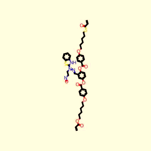 C=CC(=O)OCCCCCCOc1ccc(C(=O)Oc2ccc(OC(=O)c3ccc(OCCCCCCSC(=O)C=C)cc3)c(/C=N/N(CCN=O)C3Nc4ccccc4S3)c2)cc1